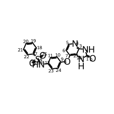 O=c1[nH]c2nccc(Oc3ccc(NS(=O)(=O)c4ccccc4)cc3)c2[nH]1